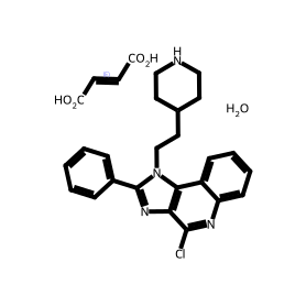 Clc1nc2ccccc2c2c1nc(-c1ccccc1)n2CCC1CCNCC1.O.O=C(O)/C=C/C(=O)O